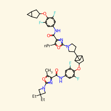 CCCc1oc(N2CCC(C34C5CC(Oc6c(F)cc(NC(=O)c7nc(N8CC(CC)(CC)C8)oc7C)cc6F)C3C54)C2)nc1C(=O)Nc1cc(F)c(OC2CC3CC3C2)c(F)c1